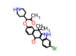 CC(=O)C(Oc1ccc2c(c1)C(C)(C)c1[nH]c3cc(Br)ccc3c1C2=O)C1CCNCC1